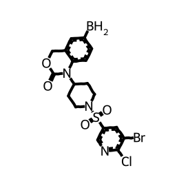 Bc1ccc2c(c1)COC(=O)N2C1CCN(S(=O)(=O)c2cnc(Cl)c(Br)c2)CC1